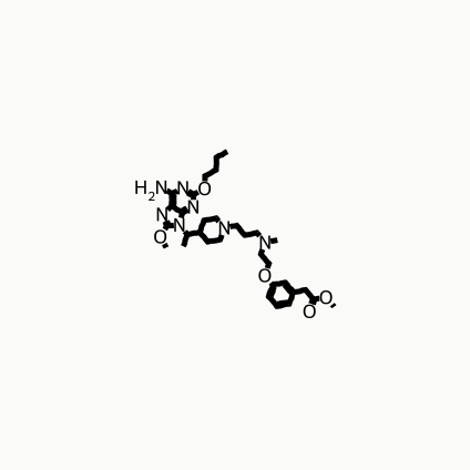 CCCCOc1nc(N)c2nc(OC)n(C(C)C3CCN(CCCN(C)CCOc4cccc(CC(=O)OC)c4)CC3)c2n1